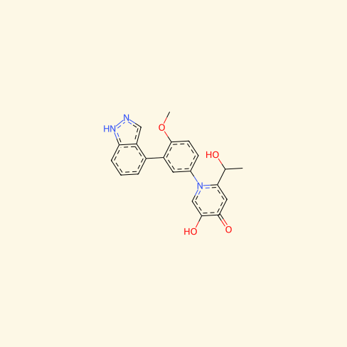 COc1ccc(-n2cc(O)c(=O)cc2C(C)O)cc1-c1cccc2[nH]ncc12